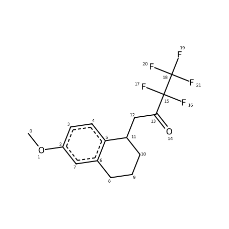 COc1ccc2c(c1)CCCC2CC(=O)C(F)(F)C(F)(F)F